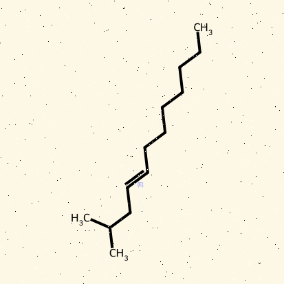 CCCCCCC/C=C/CC(C)C